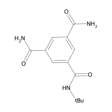 CC(C)(C)NC(=O)c1cc(C(N)=O)cc(C(N)=O)c1